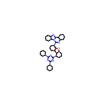 c1ccc(-c2nc(-c3ccccc3)nc(-c3cccc4oc5c(-c6nc7ccccc7c7nc8ccccc8n67)cccc5c34)n2)cc1